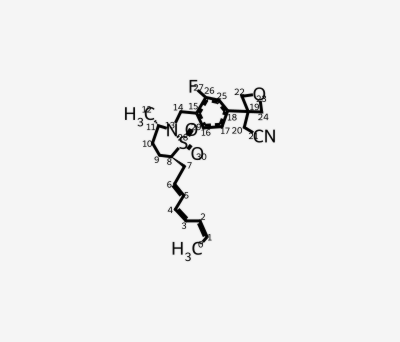 C\C=C/C=C\C=C\C[C@H]1CC[C@H](C)N(Cc2ccc(C3(CC#N)COC3)cc2F)S1(=O)=O